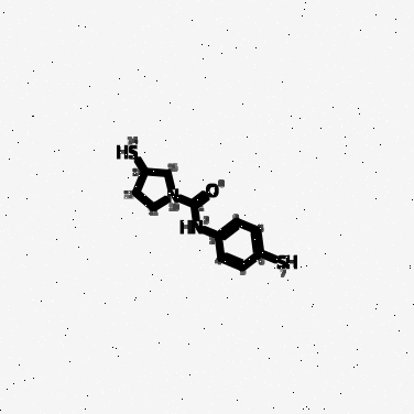 O=C(Nc1ccc(S)cc1)N1CCC(S)C1